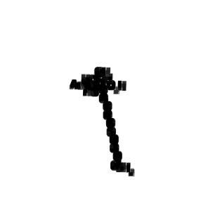 BC(=O)CCOCCOCCOCCOCCOCCOCCOCCOCCOC1(C(=O)O)CC(O)C(NC(C)=O)C(C(O)C(O)CO)O1